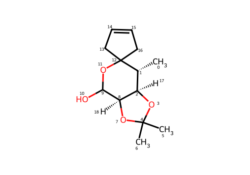 C[C@@H]1[C@H]2OC(C)(C)O[C@H]2C(O)OC12CC=CC2